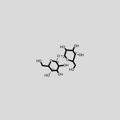 OCC1O[C@H](O[C@H]2OC(CO)[C@@H](O)C(O)C2O)C(O)C(O)[C@@H]1O